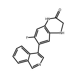 O=C1CNc2cc(-c3cncc4ccccc34)c(F)cc2N1